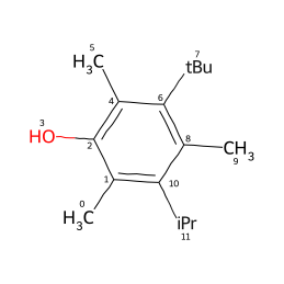 Cc1c(O)c(C)c(C(C)(C)C)c(C)c1C(C)C